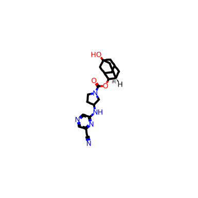 N#Cc1cncc(NC2CCN(C(=O)OC3C4CC5C[C@@H]3CC(O)(C5)C4)C2)n1